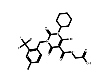 Cc1ccc(Cn2c(=O)c(C(=O)NCC(=O)O)c(O)n(C3CCCCC3)c2=O)c(C(F)(F)F)c1